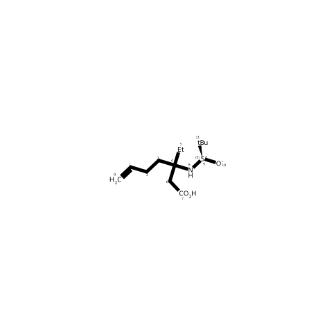 C=CCCC(CC)(CC(=O)O)N[S@+]([O-])C(C)(C)C